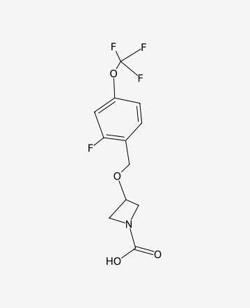 O=C(O)N1CC(OCc2ccc(OC(F)(F)F)cc2F)C1